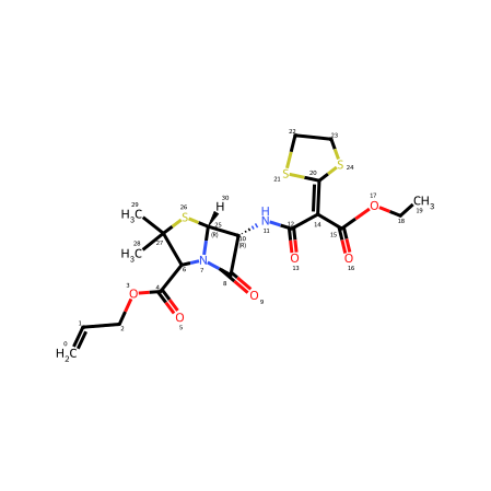 C=CCOC(=O)C1N2C(=O)[C@@H](NC(=O)C(C(=O)OCC)=C3SCCS3)[C@H]2SC1(C)C